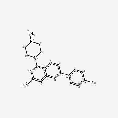 CN1CCN(c2nc(N)nc3cc(-c4ccc(F)cc4)ccc23)CC1